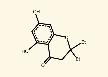 CCC1(CC)CC(=O)c2c(O)cc(O)cc2O1